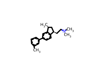 Cc1cccc(-c2ccc3c(c2)[C@H](C)C[C@H]3CCN(C)C)c1